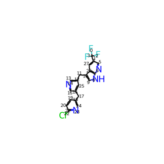 FC(F)(F)c1cnc2[nH]cc(Cc3cn[c]c(Cc4ccc(Cl)nc4)c3)c2c1